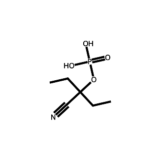 CCC(C#N)(CC)OP(=O)(O)O